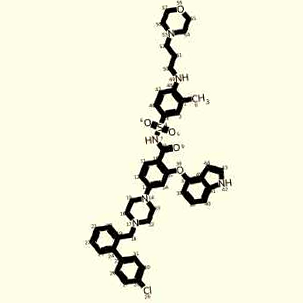 Cc1cc(S(=O)(=O)NC(=O)c2ccc(N3CCN(Cc4ccccc4-c4ccc(Cl)cc4)CC3)cc2Oc2cccc3[nH]ccc23)ccc1NCCCN1CCOCC1